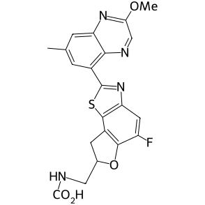 COc1cnc2c(-c3nc4cc(F)c5c(c4s3)CC(CNC(=O)O)O5)cc(C)cc2n1